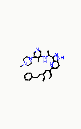 C=C/C(=C\C(=C/C)c1ccc2[nH]nc(C(=C)Nc3cncc(N4CCN(C)CC4)c3C)c2n1)CCc1ccccc1